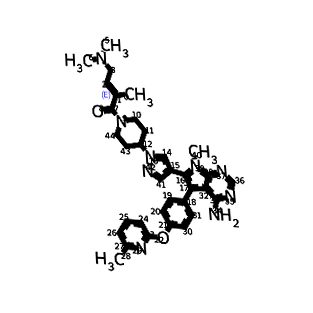 C/C(=C\CN(C)C)C(=O)N1CCC(n2cc(-c3c(-c4ccc(Oc5cccc(C)n5)cc4)c4c(N)ncnc4n3C)cn2)CC1